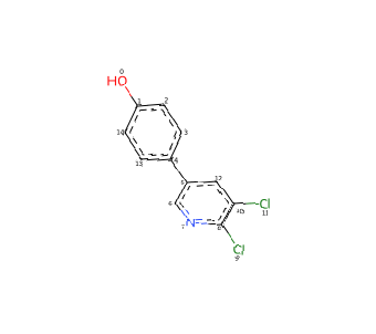 Oc1ccc(-c2cnc(Cl)c(Cl)c2)cc1